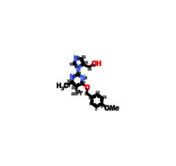 COc1ccc(COc2nc(-n3cncc3CO)nc(C)c2C(C)C)cc1